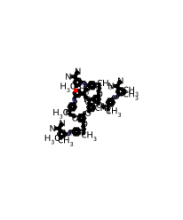 Cc1cc(OCc2cc(OCCN(C)c3ccc(/C=C/C4=CC(=C(C#N)C#N)CCC4)cc3)cc(OCCN(C)c3ccc(/C=C/C4=CC(=C(C#N)C#N)CC(C)(C)C4)cc3)c2)cc(OCc2cc(OCCN(C)c3ccc(/C=C/C4=CC(=C(C#N)C#N)CC(C)(C)C4)cc3)cc(OCCN(C)c3ccc(/C=C/C4=CC(=C(C#N)C#N)CC(C)(C)C4)cc3)c2)c1